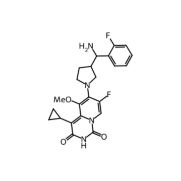 COc1c(N2CCC(C(N)c3ccccc3F)C2)c(F)cn2c(=O)[nH]c(=O)c(C3CC3)c12